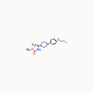 C=C(NC(=O)OC(C)(C)C)N1CCN(c2ccc(OCCF)cc2)CC1